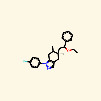 CCOC(C[C@@]1(C)Cc2cnn(-c3ccc(F)cc3)c2CC1C)c1ccccc1